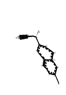 Cc1ccc2cc([C@@H](C)C#N)ccc2c1